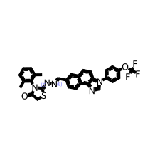 Cc1cccc(C)c1N1C(=O)CS/C1=N\N=C\c1ccc2c(ccc3c2ncn3-c2ccc(OC(F)(F)F)cc2)c1